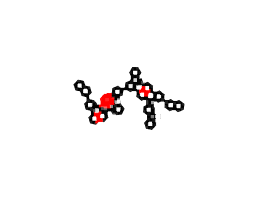 CC1(C)c2ccccc2-c2cc(-c3ccc4c(c3)oc3cc(N(c5cc(-c6ccc7ccccc7c6)ccc5-c5ccccc5)c5ccccc5-n5c6ccccc6c6ccccc65)ccc34)cc(-c3ccc(N(c4ccc5c(c4)oc4ccccc45)c4cc(-c5ccc6ccccc6c5)ccc4-c4ccccc4)cc3)c21